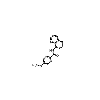 COc1ccc(C(=O)Nc2cccc3cccnc23)cc1